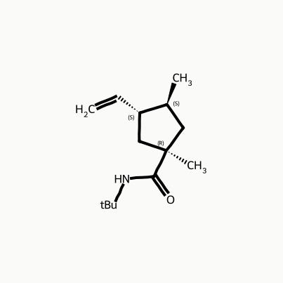 C=C[C@H]1C[C@](C)(C(=O)NC(C)(C)C)C[C@@H]1C